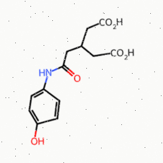 O=C(O)CC(CC(=O)O)CC(=O)Nc1ccc(O)cc1